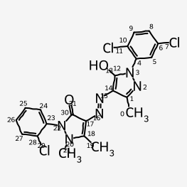 Cc1nn(-c2cc(Cl)ccc2Cl)c(O)c1/N=N/c1c(C)n(C)n(-c2ccccc2Cl)c1=O